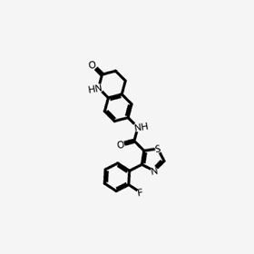 O=C1CCc2cc(NC(=O)c3scnc3-c3ccccc3F)ccc2N1